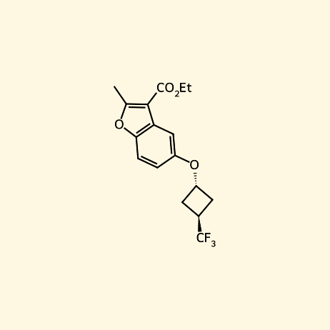 CCOC(=O)c1c(C)oc2ccc(O[C@H]3C[C@H](C(F)(F)F)C3)cc12